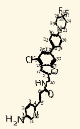 Nc1ccc(C=CC(=O)NCc2cc3c(Cl)cc(-c4ccc(N5CCC(F)(F)CC5)cc4)cc3o2)nc1